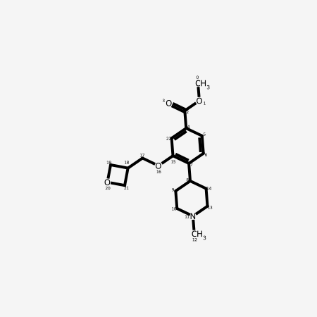 COC(=O)c1ccc(C2CCN(C)CC2)c(OCC2COC2)c1